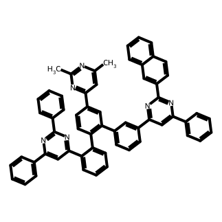 Cc1cc(-c2ccc(-c3ccccc3-c3cc(-c4ccccc4)nc(-c4ccccc4)n3)c(-c3cccc(-c4cc(-c5ccccc5)nc(-c5ccc6ccccc6c5)n4)c3)c2)nc(C)n1